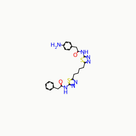 Nc1ccc(CC(=O)Nc2nnc(CCCCc3nnc(NC(=O)Cc4ccccc4)s3)s2)cc1